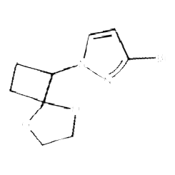 Brc1ccn(C2CCC23OCCO3)n1